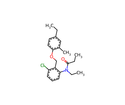 CCC(=O)N(CC)c1cccc(Cl)c1COc1ccc(CC)cc1C